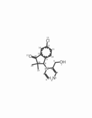 C=CN(/C(=C\N)CO)C1c2ccc(Cl)cc2C(=O)C1(C)C